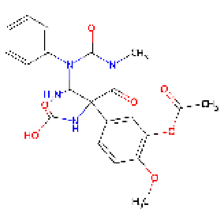 COc1ccc(C2(NC(=O)O)C(=O)N(C)C(=O)N(c3ccccc3)C2N)cc1OC(C)=O